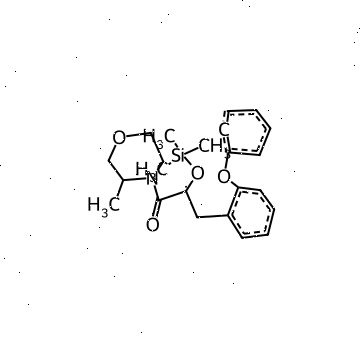 CC1COCCN1C(=O)[C](Cc1ccccc1Oc1ccccc1)O[Si](C)(C)C